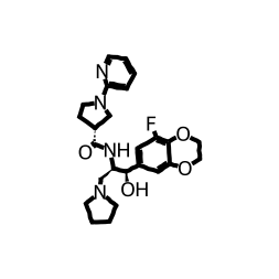 O=C(N[C@H](CN1CCCC1)[C@H](O)c1cc(F)c2c(c1)OCCO2)[C@@H]1CCN(c2ccccn2)C1